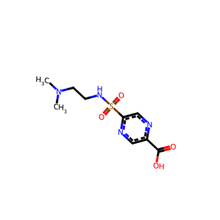 CN(C)CCNS(=O)(=O)c1cnc(C(=O)O)cn1